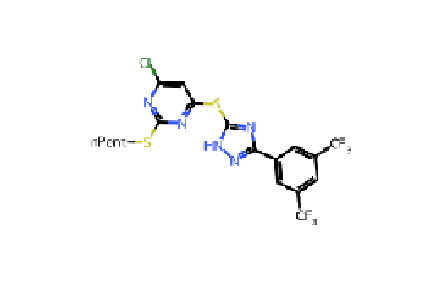 CCCCCSc1nc(Cl)cc(Sc2nc(-c3cc(C(F)(F)F)cc(C(F)(F)F)c3)n[nH]2)n1